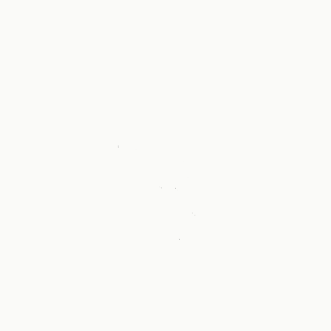 O=c1[nH]cnc2c1cnn2-c1cccc(-c2ccc(Cl)cc2)c1-c1ccc(Br)cc1